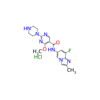 COc1nc(N2CCNCC2)ncc1C(=O)Nc1cc(F)c2nc(C)cn2c1.Cl